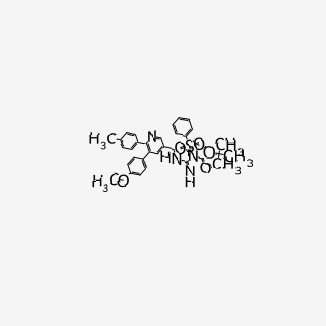 COc1ccc(-c2cc(CNC(=N)N(C(=O)OC(C)(C)C)S(=O)(=O)c3ccccc3)cnc2-c2ccc(C)cc2)cc1